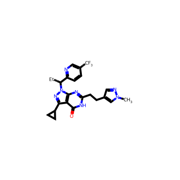 CCC(c1ccc(C(F)(F)F)cn1)n1nc(C2CC2)c2c(=O)[nH]c(CCc3cnn(C)c3)nc21